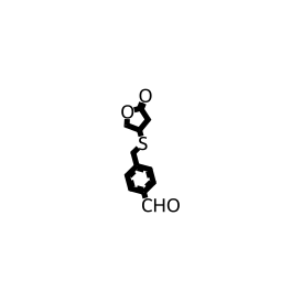 O=Cc1ccc(CSC2COC(=O)C2)cc1